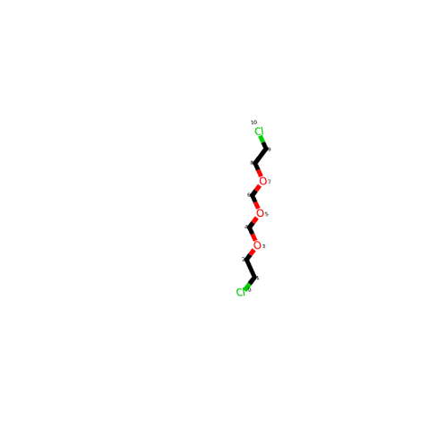 ClCCOCOCOCCCl